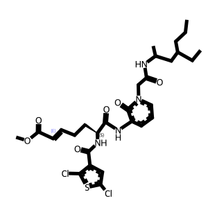 CCCC(CC)CC(C)NC(=O)Cn1cccc(NC(=O)[C@H](CC/C=C/C(=O)OC)NC(=O)c2cc(Cl)sc2Cl)c1=O